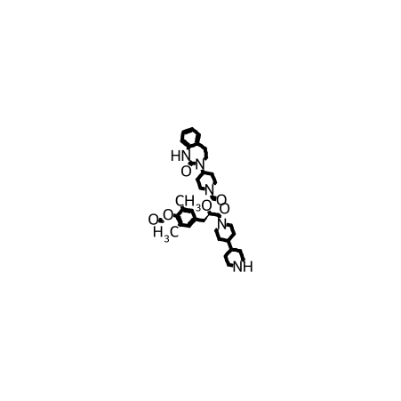 Cc1cc(C[C@@H](OC(=O)N2CCC(N3CCc4ccccc4NC3=O)CC2)C(=O)N2CCC(C3CCNCC3)CC2)cc(C)c1OC=O